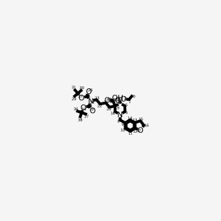 CCOP1(=O)CCN(Cc2ccc3c(c2)CCO3)CC1(CCCCN(C(=O)OC(C)(C)C)C(=O)OC(C)(C)C)C(=O)O